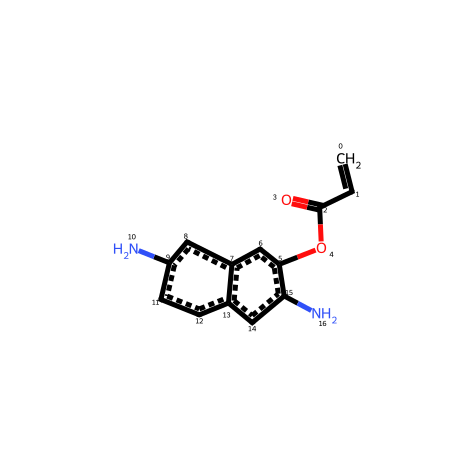 C=CC(=O)Oc1cc2cc(N)ccc2cc1N